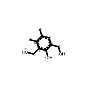 Cc1cc(CO)c(O)c(CO)c1C